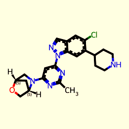 Cc1nc(N2C[C@@H]3C[C@H]2CO3)cc(-n2ncc3cc(Cl)c(C4CCNCC4)cc32)n1